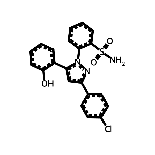 NS(=O)(=O)c1ccccc1-n1nc(-c2ccc(Cl)cc2)cc1-c1ccccc1O